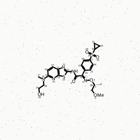 COC[C@@H](C)O/N=C(/C(=O)Nc1nc2ccc(N(C)CCO)nc2s1)c1ccc(S(=O)(=O)C2CC2)cc1